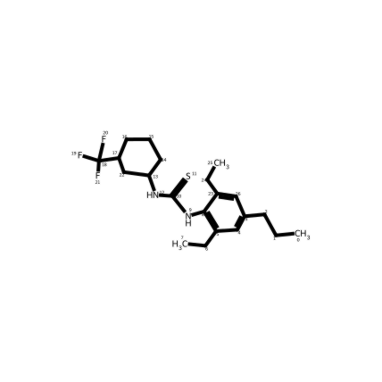 CCCc1cc(CC)c(NC(=S)NC2CCCC(C(F)(F)F)C2)c(CC)c1